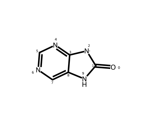 O=C1[N]c2ncncc2N1